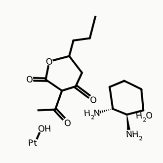 CCCC1CC(=O)C(C(C)=O)C(=O)O1.N[C@@H]1CCCC[C@H]1N.O.[OH][Pt]